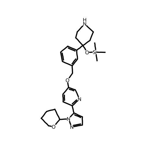 C[Si](C)(C)OC1(c2cccc(COc3ccc(-c4ccnn4C4CCCCO4)nc3)c2)CCNCC1